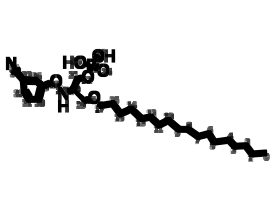 CCCCCCCCCCCCCCCCCCOC[C@H](COP(=O)(O)O)NOc1cccc(C#N)c1